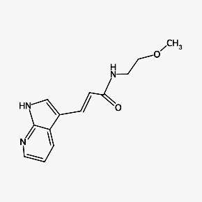 COCCNC(=O)/C=C/c1c[nH]c2ncccc12